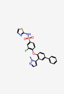 Cn1nccc1-c1cc(-c2ccccc2)ccc1Oc1ccc(S(=O)(=O)Nc2nccs2)cc1F